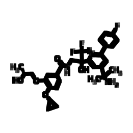 C[C@@H](O)COc1cc(C(=O)NCC(O)(c2cc(C(C)(C)N)cc(-c3ccc(F)cc3)n2)C(F)(F)F)ccc1OC1CC1